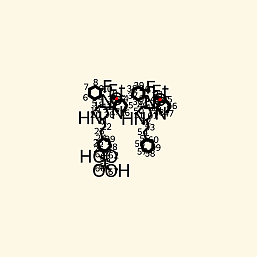 CCC(=O)N(c1ccccc1F)C1(c2ccccn2)CCNC(CCc2ccccc2)C1.CCC(=O)N(c1ccccc1F)C1(c2ccccn2)CCNC(CCc2ccccc2)C1.O=C(O)C(=O)O